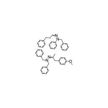 C(/CCc1ccccc1)=N/N(Cc1ccccc1)c1ccccc1.COc1ccc(C/C(C)=N\N(Cc2ccccc2)Cc2ccccc2)cc1